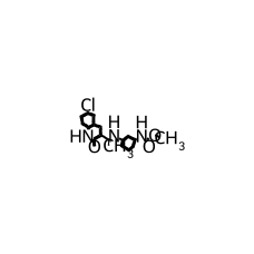 COC(=O)Nc1cccc(N[C@@H](C)c2cc3cc(Cl)ccc3[nH]c2=O)c1